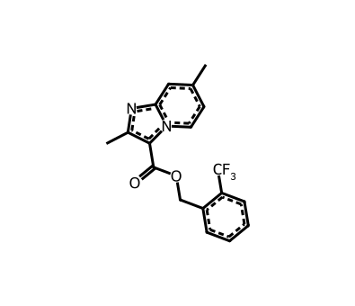 Cc1ccn2c(C(=O)OCc3ccccc3C(F)(F)F)c(C)nc2c1